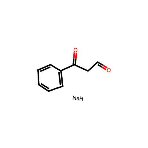 O=CCC(=O)c1ccccc1.[NaH]